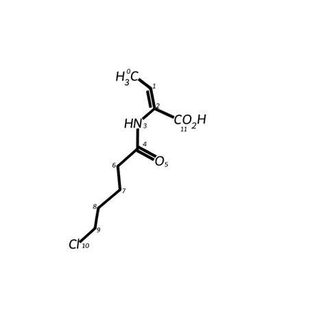 C/C=C(\NC(=O)CCCCCl)C(=O)O